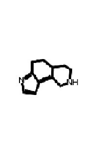 C1=CC2=C3CNCCC3CCC2=N1